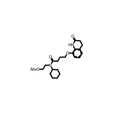 COCCN(C(=O)CCCOc1cccc2c1NC(=O)CC2)C1CCCCC1